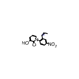 C/C=C\c1cc([N+](=O)[O-])ccc1-n1cccc(O)c1=O